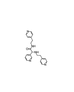 O=C(NCCc1ccncc1)C(NCCc1ccncc1)c1cccnc1